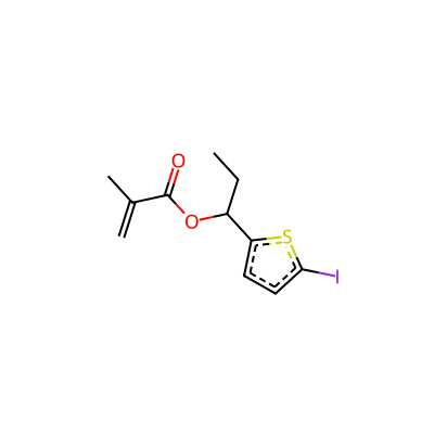 C=C(C)C(=O)OC(CC)c1ccc(I)s1